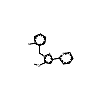 COc1cc(-c2ccccn2)nn1Cc1ccccc1F